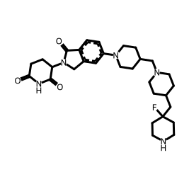 O=C1CCC(N2Cc3cc(N4CCC(CN5CCC(CC6(F)CCNCC6)CC5)CC4)ccc3C2=O)C(=O)N1